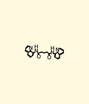 O=C(CCCC(=O)Nc1cccc2cccnc12)Nc1cccc2cccnc12